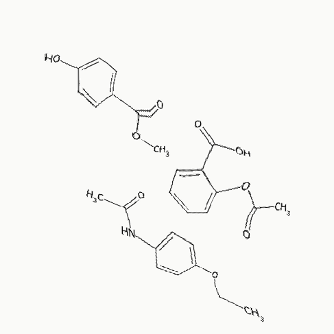 CC(=O)Oc1ccccc1C(=O)O.CCOc1ccc(NC(C)=O)cc1.COC(=O)c1ccc(O)cc1